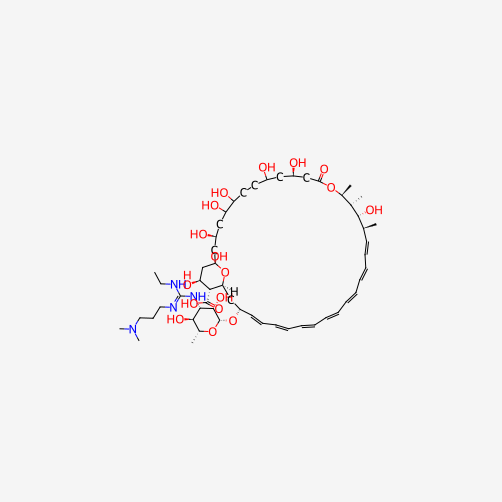 CCNC(=NCCCN(C)C)N[C@@H]1[C@H](O)[C@H](O[C@H]2/C=C/C=C/C=C/C=C/C=C/C=C/C=C/[C@H](C)[C@@H](O)[C@@H](C)[C@H](C)OC(=O)C[C@H](O)CC(O)CCC(O)C(O)C[C@H](O)C[C@]3(O)C[C@H](O)[C@@H](C(=O)O)[C@H](C2)O3)O[C@H](C)[C@H]1O